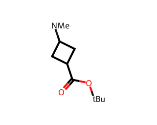 CNC1CC(C(=O)OC(C)(C)C)C1